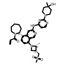 C=CC(=O)N1CCCCC[C@@H]1c1ccc(N2C[C@H](CS(C)(=O)=O)[C@H]2C)c2cnc(Nc3ccnc(N4CCC(C)(O)CC4)n3)cc12